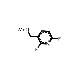 COCc1ccc(F)nc1F